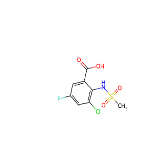 CS(=O)(=O)Nc1c(Cl)cc(F)cc1C(=O)O